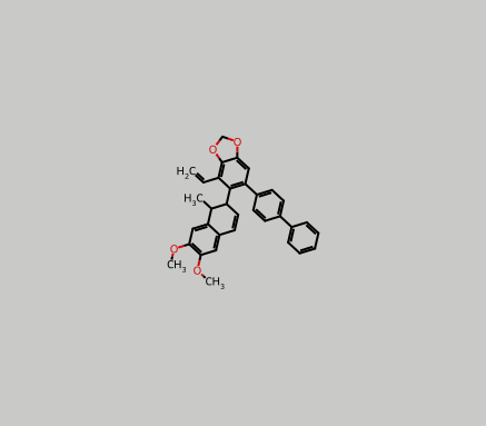 C=Cc1c2c(cc(-c3ccc(-c4ccccc4)cc3)c1C1C=Cc3cc(OC)c(OC)cc3C1C)OCO2